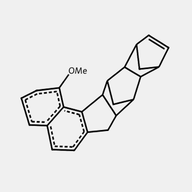 COc1cccc2ccc3c(c12)C1C(C3)C2CC1C1C3C=CC(C3)C21